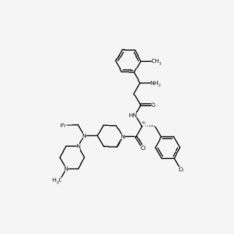 Cc1ccccc1C(N)CC(=O)N[C@H](Cc1ccc(Cl)cc1)C(=O)N1CCC(N(CC(C)C)N2CCN(C)CC2)CC1